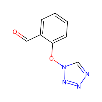 O=Cc1ccccc1On1cnnn1